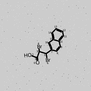 O=C(O)C(Br)C(Br)c1ccc2ccccc2c1